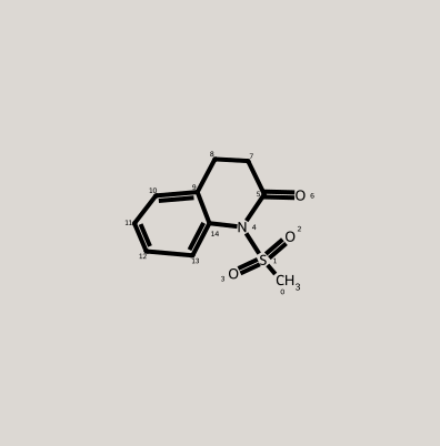 CS(=O)(=O)N1C(=O)CCc2ccccc21